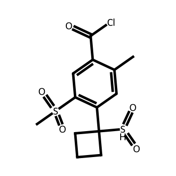 Cc1cc(C2([SH](=O)=O)CCC2)c(S(C)(=O)=O)cc1C(=O)Cl